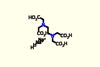 O=C(O)CN(CCN(CC(=O)O)CC(=O)O)CC(=O)O.[H-].[H-].[Na+].[Na+]